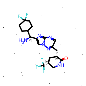 N[C@H](c1cn2nc(C[C@H]3C[C@@H](C(F)(F)F)CNC3=O)cnc2n1)C1CCC(F)(F)CC1